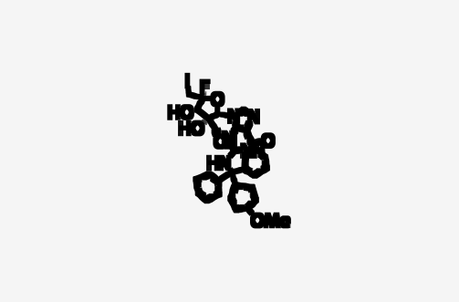 C#C[C@]1(O)[C@H](n2cnc3c(=O)[nH]c(NC(c4ccccc4)(c4ccccc4)c4ccc(OC)cc4)nc32)O[C@](F)(CI)[C@H]1O